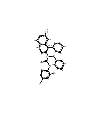 O=C(Nc1ccc(F)cc1F)N(Cc1ccccc1)c1cnc2ccc(Cl)cc2c1-c1ccccc1